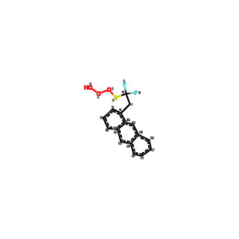 OOOSC(F)(F)Cc1cccc2cc3ccccc3cc12